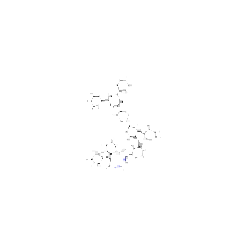 C=C1/C=C\C=C(\c2cccc(-n3c4ccccc4c4cc(-c5ccc(-c6nc(-c7ccccc7)nc(-c7ccccc7)n6)cc5)ccc43)c2)Cc2ccccc2N1c1ccccc1